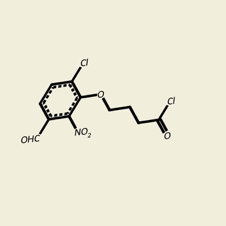 O=Cc1ccc(Cl)c(OCCCC(=O)Cl)c1[N+](=O)[O-]